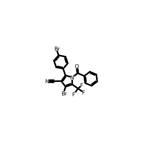 N#Cc1c(Br)c(C(F)(F)F)n(C(=O)c2ccccc2)c1-c1ccc(Br)cc1